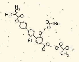 C=C(C)C(=O)OCCOC(=O)c1ccc(-c2ccc(-c3ccc(OC(=O)C(=C)C)cc3)cc2CC)c(OCCOC(=O)C(C)(C)C)c1